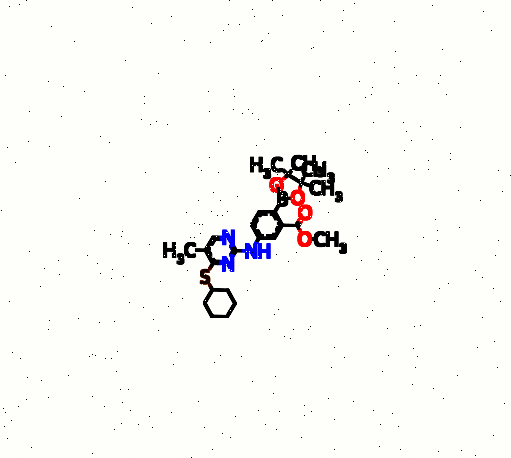 COC(=O)c1cc(Nc2ncc(C)c(SC3CCCCC3)n2)ccc1B1OC(C)(C)C(C)(C)O1